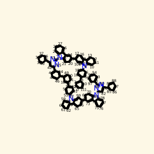 c1ccc(-c2ccc(-n3c4ccccc4c4ccc(-c5ccc6c(c5)c5ccccc5n6-c5nc(-c6ccccc6)cc(-c6cccc(-c7cccc(-c8ccc(-n9c%10ccccc%10c%10ccc(-c%11ccc%12c(c%11)c%11ccccc%11n%12-c%11cc(-c%12ccccc%12)nc(-c%12ccccc%12)n%11)cc%109)cc8)c7)c6)n5)cc43)cc2)cc1